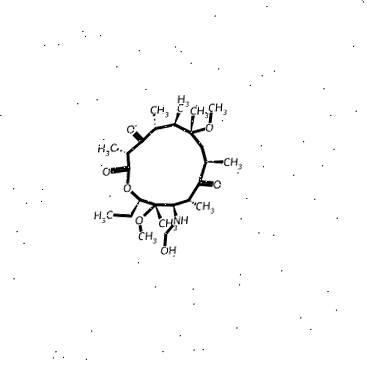 CC[C@H]1OC(=O)[C@H](C)C(=O)[C@H](C)[C@@H](C)[C@](C)(OC)C[C@@H](C)C(=O)[C@H](C)[C@@H](NCO)[C@]1(C)OC